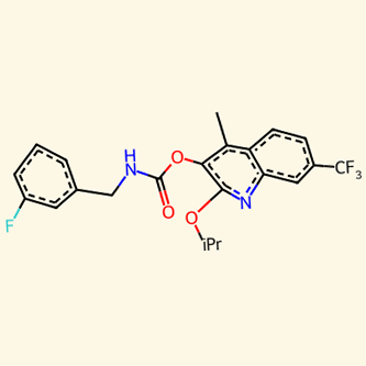 Cc1c(OC(=O)NCc2cccc(F)c2)c(OC(C)C)nc2cc(C(F)(F)F)ccc12